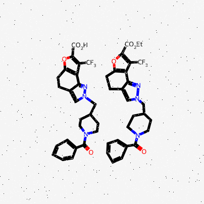 CCOC(=O)c1oc2c(c1C(F)(F)F)-c1nn(CC3CCN(C(=O)c4ccccc4)CC3)cc1CC2.O=C(O)c1oc2c(c1C(F)(F)F)-c1nn(CC3CCN(C(=O)c4ccccc4)CC3)cc1CC2